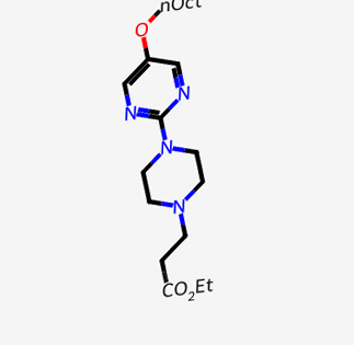 CCCCCCCCOc1cnc(N2CCN(CCC(=O)OCC)CC2)nc1